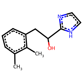 Cc1cccc(CC(O)c2ncc[nH]2)c1C